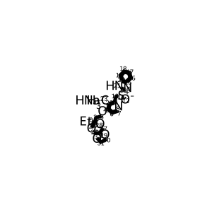 CCC1(CCOc2ccnc(C[S+]([O-])c3nc4ccccc4[nH]3)c2C)OCC2(CO1)OCCO2.[NaH]